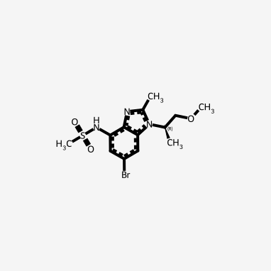 COC[C@@H](C)n1c(C)nc2c(NS(C)(=O)=O)cc(Br)cc21